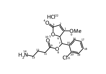 COC1=CC(=O)OC1C(OC(=O)CCCN)c1ccccc1Cl.Cl